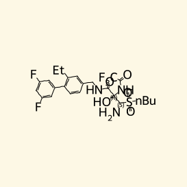 CCCCS(=O)(=O)[C@H](N)[C@@](O)(NC(=O)C(F)(F)F)C(=O)NCc1ccc(-c2cc(F)cc(F)c2)c(CC)c1